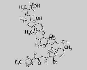 CC[C@@H](C(=O)[C@@H](C)[C@@H](O)[C@H](C)[C@@H]1O[C@@H]([C@@H](CC)C(=O)NCC(=O)Nc2nnc(C(F)(F)F)s2)CCC1C)[C@H]1O[C@]2(C=C[C@@H](O)[C@]3(CC[C@@](C)([C@H]4CC[C@](O)(CC)[C@H](C)O4)O3)O2)[C@H](C)C[C@@H]1C